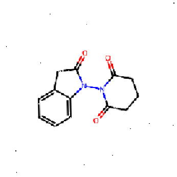 O=C1CCCC(=O)N1N1C(=O)Cc2ccccc21